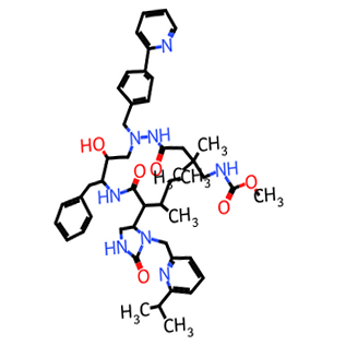 CCC(C)C(C(=O)NC(Cc1ccccc1)C(O)CN(Cc1ccc(-c2ccccn2)cc1)NC(=O)CC(C)(C)CNC(=O)OC)C1CNC(=O)N1Cc1cccc(C(C)C)n1